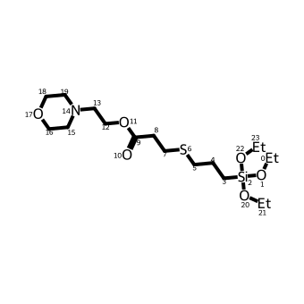 CCO[Si](CCCSCCC(=O)OCCN1CCOCC1)(OCC)OCC